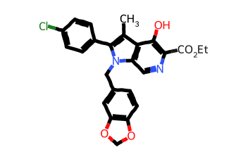 CCOC(=O)c1ncc2c(c(C)c(-c3ccc(Cl)cc3)n2Cc2ccc3c(c2)OCO3)c1O